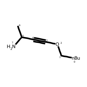 CCCCCOC#CC(C)N